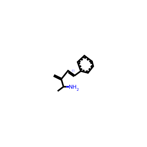 C=C(/C=C/c1ccccc1)C(C)N